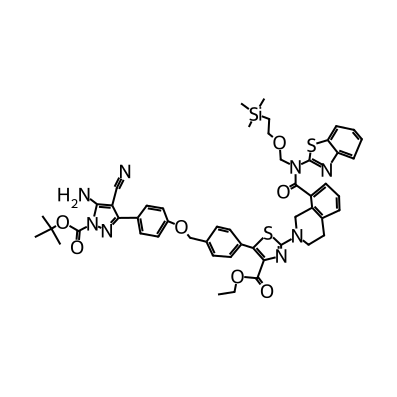 CCOC(=O)c1nc(N2CCc3cccc(C(=O)N(COCC[Si](C)(C)C)c4nc5ccccc5s4)c3C2)sc1-c1ccc(COc2ccc(-c3nn(C(=O)OC(C)(C)C)c(N)c3C#N)cc2)cc1